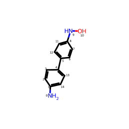 Nc1ccc(-c2ccc(NO)cc2)cc1